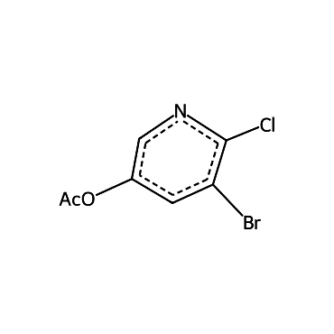 CC(=O)Oc1cnc(Cl)c(Br)c1